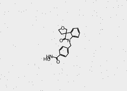 O=C(NO)c1ccc(CN2C(=O)C3(CCOC3)c3ccccc32)cc1